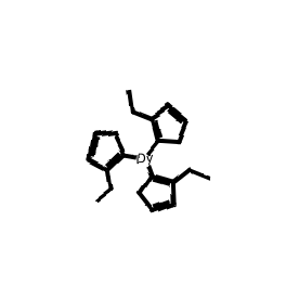 CCC1=[C]([Dy]([C]2=C(CC)C=CC2)[C]2=C(CC)C=CC2)CC=C1